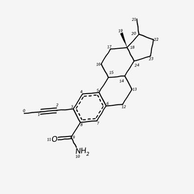 CC#Cc1cc2c(cc1C(N)=O)CCC1C2CC[C@]2(C)C(C)CCC12